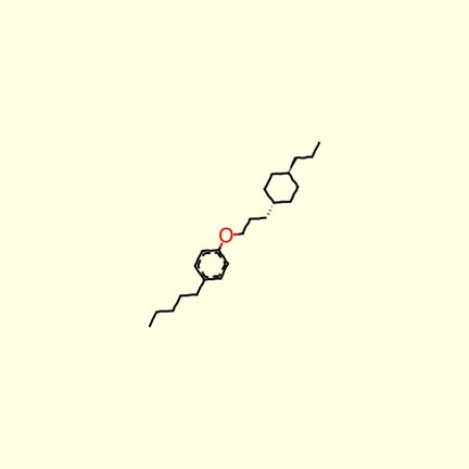 CCCCCc1ccc(OCCC[C@H]2CC[C@H](CCC)CC2)cc1